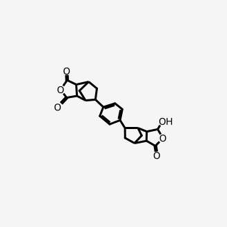 O=C1OC(=O)C2C3CC(CC3c3ccc(C4CC5CC4C4C(O)OC(=O)C54)cc3)C12